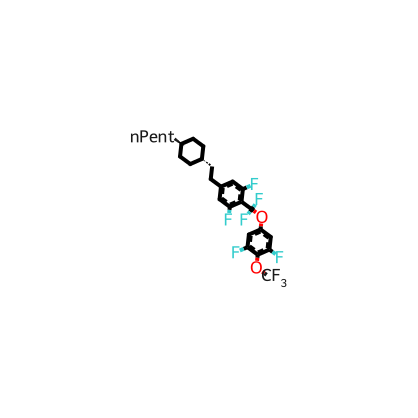 CCCCC[C@H]1CC[C@H](CCc2cc(F)c(C(F)(F)Oc3cc(F)c(OC(F)(F)F)c(F)c3)c(F)c2)CC1